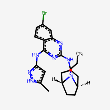 Cc1cc(Nc2nc(NC3C[C@H]4CC[C@H](C3)N4CCC#N)nc3cc(Br)ccc23)n[nH]1